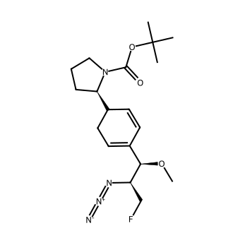 CO[C@H](C1=CCC([C@H]2CCCN2C(=O)OC(C)(C)C)C=C1)[C@@H](CF)N=[N+]=[N-]